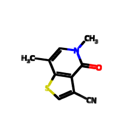 Cc1cn(C)c(=O)c2c(C#N)csc12